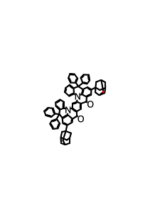 O=c1c2cc3c(=O)c4cc(C56CC7CC(CC(C7)C5)C6)cc5c4n(c3cc2n2c3c(cc(C46CC7CC(CC(C7)C4)C6)cc13)C(c1ccccc1)(c1ccccc1)c1ccccc1-2)-c1ccccc1C5(c1ccccc1)c1ccccc1